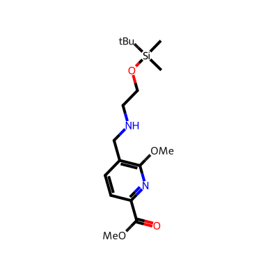 COC(=O)c1ccc(CNCCO[Si](C)(C)C(C)(C)C)c(OC)n1